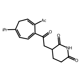 CC(=O)C1=CCC(C(C)C)=CC=C1C(=O)CC1CCC(=O)NC1=O